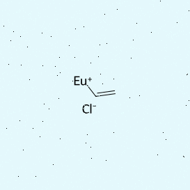 C=[CH][Eu+].[Cl-]